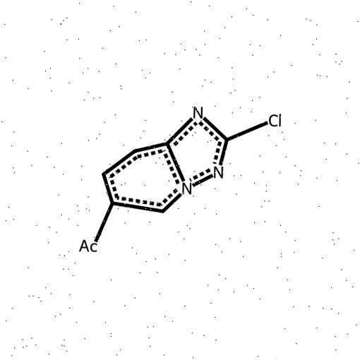 CC(=O)c1ccc2nc(Cl)nn2c1